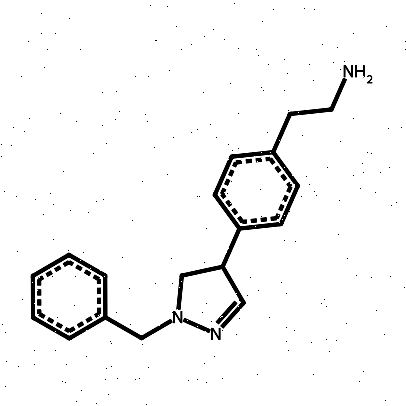 NCCc1ccc(C2C=NN(Cc3ccccc3)C2)cc1